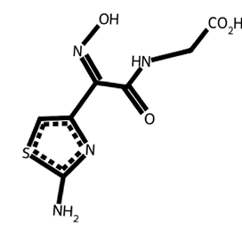 Nc1nc(C(=NO)C(=O)NCC(=O)O)cs1